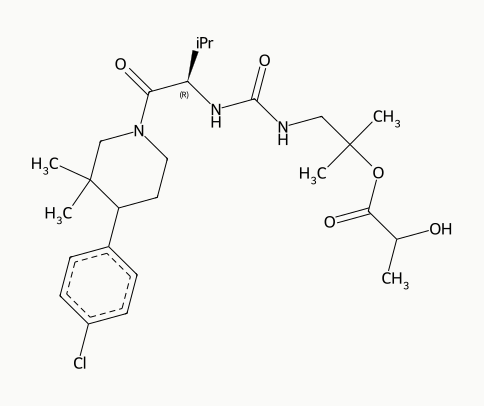 CC(O)C(=O)OC(C)(C)CNC(=O)N[C@@H](C(=O)N1CCC(c2ccc(Cl)cc2)C(C)(C)C1)C(C)C